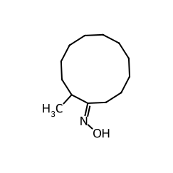 CC1CCCCCCCCCCC1=NO